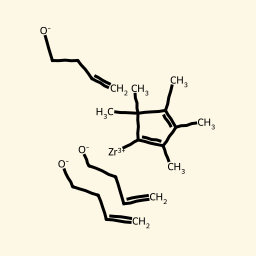 C=CCC[O-].C=CCC[O-].C=CCC[O-].CC1=C(C)C(C)(C)[C]([Zr+3])=C1C